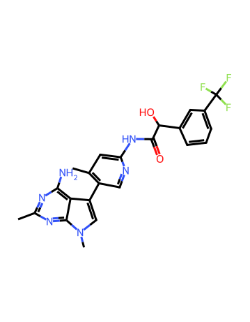 Cc1nc(N)c2c(-c3cnc(NC(=O)C(O)c4cccc(C(F)(F)F)c4)cc3C)cn(C)c2n1